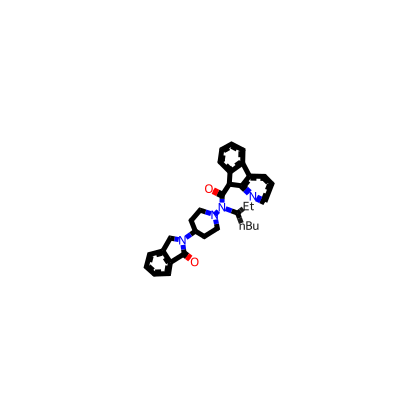 CCCCC(CC)N(C(=O)C1c2ccccc2-c2cccnc21)N1CCC(N2Cc3ccccc3C2=O)CC1